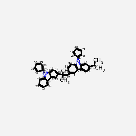 CC(C)c1ccc2c3cc(CC(C)(C)c4ccc5c(c4)c4ccccc4n5-c4ccccc4)ccc3n(-c3ccccc3)c2c1